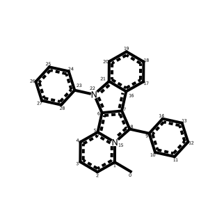 Cc1cccc2c3c(c(-c4ccccc4)n12)c1ccccc1n3-c1ccccc1